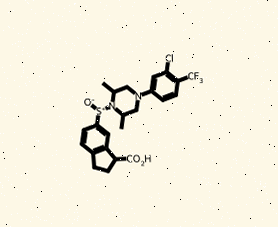 CC1CN(c2ccc(C(F)(F)F)c(Cl)c2)CC(C)N1[S+]([O-])c1ccc2c(c1)C(C(=O)O)CC2